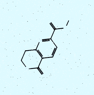 COC(=O)c1ccc2c(n1)CCNC2=O